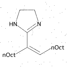 CCCCCCCC/C=C(/CCCCCCCC)C1=NCCN1